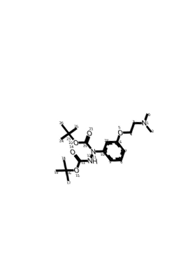 CN(C)CCOc1cccc(N(NC(=O)OC(C)(C)C)C(=O)OC(C)(C)C)c1